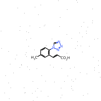 Cc1ccc(-n2cnnn2)c(/C=C/C(=O)O)c1